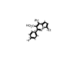 CCc1ccc2c(C(C)C)c(C(=O)O)c(-c3ccc(F)cc3)nn12